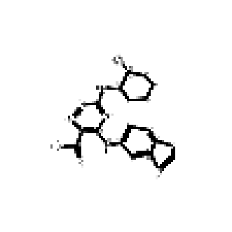 NC(=O)c1nnc(N[C@@H]2CCCC[C@@H]2N)nc1Nc1ccc2scnc2c1